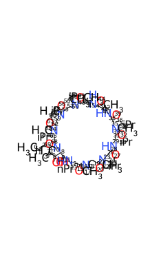 C/C=C/C[C@@H](C)[C@@H](O)[C@H]1C(=O)N[C@@H](CCC)C(=O)N(C)CC(=O)N(C)[C@@H](CC(C)C)C(=O)N[C@@H](C(C)C)C(=O)N(C)[C@@H](CC(C)C)C(=O)N[C@@H](C)C(=O)N[C@H](C)C(=O)N(C)[C@@H](CC(C)C)C(=O)N(C)[C@@H](CC(C)C)C(=O)N(C)[C@@H](C(C)C)C(=O)N1C